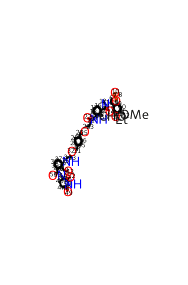 CCOc1cc(C(CS(C)(=O)=O)N(C)C(=O)c2cccc(NC(=O)CCOCc3ccc(COCCNc4cccc5c4C(=O)N(C4CCC(=O)NC4=O)C5=O)cc3)c2C=O)ccc1OC